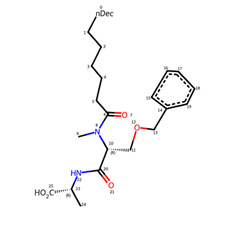 CCCCCCCCCCCCCCCC(=O)N(C)[C@H](COCc1ccccc1)C(=O)N[C@H](C)C(=O)O